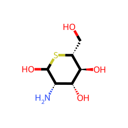 N[C@@H]1C(O)S[C@H](CO)[C@@H](O)[C@@H]1O